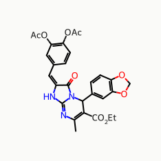 CCOC(=O)C1=C(C)N=c2[nH]c(=Cc3ccc(OC(C)=O)c(OC(C)=O)c3)c(=O)n2C1c1ccc2c(c1)OCO2